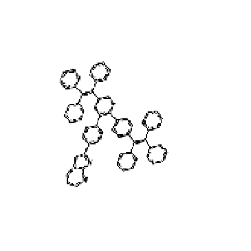 c1ccc(C(=C(c2ccccc2)c2ccc(-c3ccc(C(=C(c4ccccc4)c4ccccc4)c4ccccc4)cc3-c3ccc(-c4cn5cccnc5n4)cc3)cc2)c2ccccc2)cc1